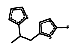 CC(Cc1ccc(F)s1)c1cccs1